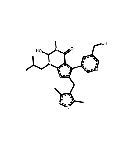 Cc1n[nH]c(C)c1Cc1sc2c(c1-c1cncc(CO)c1)C(=O)N(C)C(O)N2CC(C)C